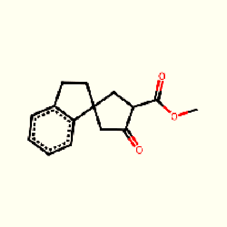 COC(=O)C1CC2(CCc3ccccc32)CC1=O